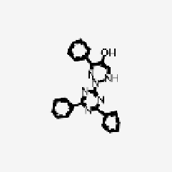 OC1=CNN(c2nc(-c3ccccc3)nc(-c3ccccc3)n2)N=C1c1ccccc1